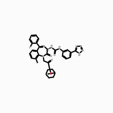 Cc1cccc2c1N(CC(=O)N1CC3CCC(CC3)C1)C(=O)[C@H](NC(=O)Nc1cccc(-c3nnn[nH]3)c1)N=C2c1ccccc1F